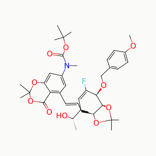 COc1ccc(CO[C@H](/C(F)=C\[C@@H](C)[C@H](C)O)[C@H]2OC(C)(C)O[C@H]2C/C=C/c2cc(N(C)C(=O)OC(C)(C)C)cc3c2C(=O)OC(C)(C)O3)cc1